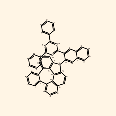 c1ccc(-c2nc(-c3ccccc3)nc(-c3cc4ccccc4cc3-n3c4cccc5c4c4c6c(cccc6ccc43)-c3ccccc3-5)n2)cc1